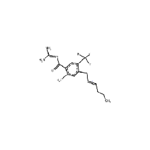 CCC/C=C/Cc1cc(C)c(C(=O)N=C(N)N)cc1C(F)(F)F